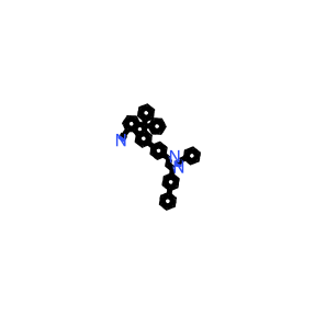 N#Cc1cccc2c1-c1ccc(-c3ccc(-c4cc(-c5ccc(-c6ccccc6)cc5)nc(-c5ccccc5)n4)cc3)cc1C2(c1ccccc1)c1ccccc1